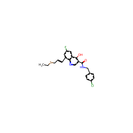 CCSCC=Cc1cc(F)cc2c(O)c(C(=O)NCc3ccc(Cl)cc3)cnc12